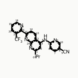 CC(C)c1cc(Nc2ccc(C#N)cn2)c2ccc(-c3ncccc3C(F)(F)F)nc2n1